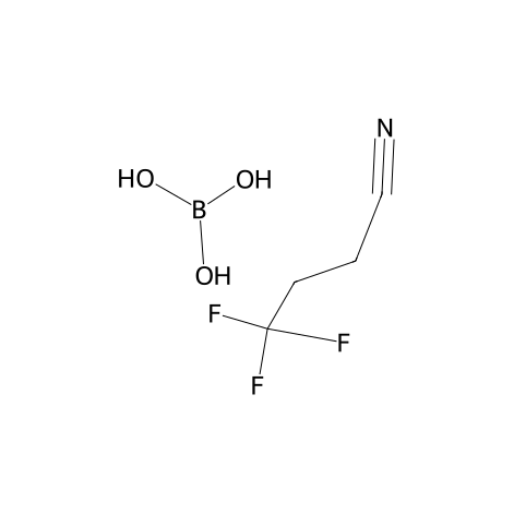 N#CCCC(F)(F)F.OB(O)O